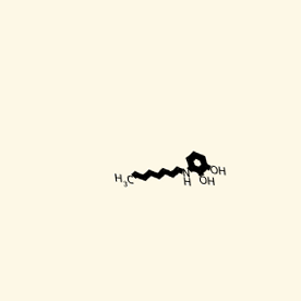 CCCCCCCCNc1cccc(O)c1O